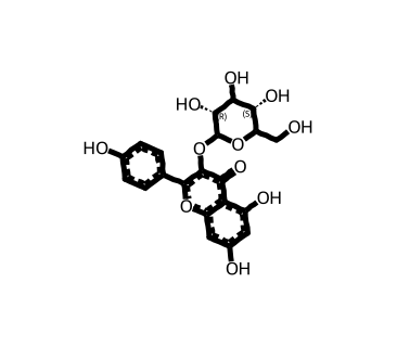 O=c1c(OC2OC(CO)[C@@H](O)C(O)[C@H]2O)c(-c2ccc(O)cc2)oc2cc(O)cc(O)c12